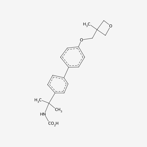 CC1(COc2ccc(-c3ccc(C(C)(C)NC(=O)O)cc3)cc2)COC1